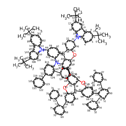 CC(C)(C)c1ccc2c(c1)c1cc(C(C)(C)C)ccc1n2-c1ccc2c(c1)Oc1cc(-c3cc4c5c(c3)Oc3cc(-c6c(-c7ccccc7)cccc6-c6ccccc6)ccc3B5c3ccc(-c5ccccc5-c5ccccc5)cc3O4)cc3c1B2c1ccc(-n2c4ccc(C(C)(C)C)cc4c4cc(C(C)(C)C)ccc42)cc1N3c1ccc(-c2ccccc2)cc1-c1ccccc1